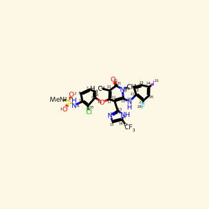 CNS(=O)(=O)Nc1cccc(Oc2c(-c3ncc(C(F)(F)F)[nH]3)c(Nc3ccc(I)cc3F)n(C)c(=O)c2C)c1Cl